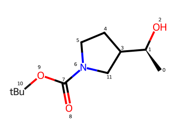 C[C@H](O)C1CCN(C(=O)OC(C)(C)C)C1